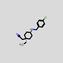 CC[C@]1(CC#N)CC[C@@H](NCc2ccc(Cl)cc2)CC1